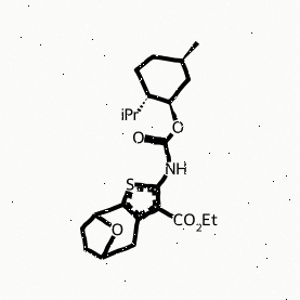 CCOC(=O)c1c(NC(=O)O[C@@H]2C[C@H](C)CC[C@H]2C(C)C)sc2c1CC1CCC2O1